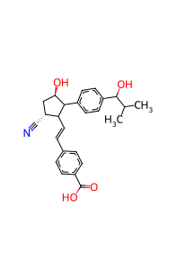 CC(C)C(O)c1ccc(C2C(/C=C/c3ccc(C(=O)O)cc3)[C@H](C#N)C[C@H]2O)cc1